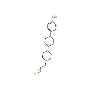 N#Cc1ccc(C2CCC(C3CCC(C/C=C/F)CC3)CC2)cc1